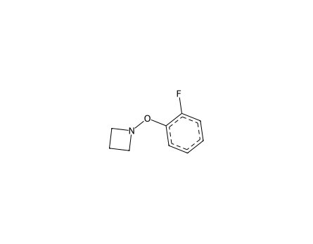 Fc1ccccc1ON1CCC1